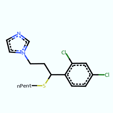 CCCCCSC(CCn1ccnc1)c1ccc(Cl)cc1Cl